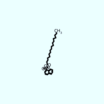 CCCCCCCCCCCCCCCCCC(=O)OS(=O)(=O)c1cccc2ccccc12